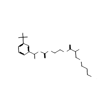 CCCCSCC(C)C(=O)OCCOC(=O)NC(C)c1cccc(C(C)(C)C)c1